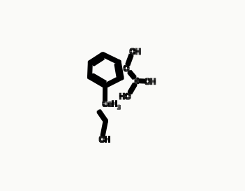 CCO.OOB(O)O.[GeH3][c]1ccccc1